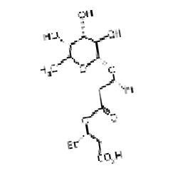 CC[C@@H](CC(=O)O)OC(=O)C[C@@H](CC)O[C@@H]1OC(C)[C@H](O)[C@H](O)C1O